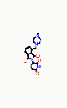 CN1CCN(Cc2cccc3c2C(=O)N(C2CCC(=O)NC2=O)C3=O)CC1